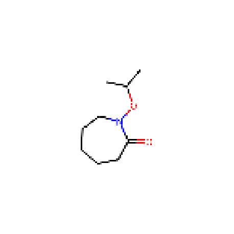 CC(C)ON1CCCCCC1=O